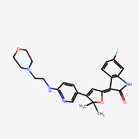 CC1(C)OC(=C2C(=O)Nc3cc(F)ccc32)C=C1c1ccc(NCCN2CCOCC2)nc1